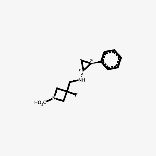 O=C(O)N1CC(F)(CN[C@@H]2C[C@H]2c2ccccc2)C1